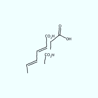 CC(=O)O.CC=CC=CC(=O)O.CCC(=O)O